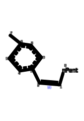 CCCCC/C=[C]\c1ccc(C)cc1